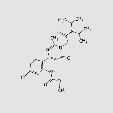 COC(=O)Nc1cc(Cl)ccc1-c1cc(=O)n(CC(=O)N(C(C)C)C(C)C)c(C)n1